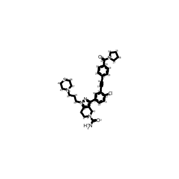 NC(=O)N1CCc2c(c(-c3ccc(Cl)c(C#Cc4ccc(C(=O)N5CCCC5)cc4)c3)nn2CCCN2CCSCC2)C1